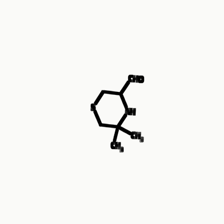 CC1(C)CSCC(C=O)N1